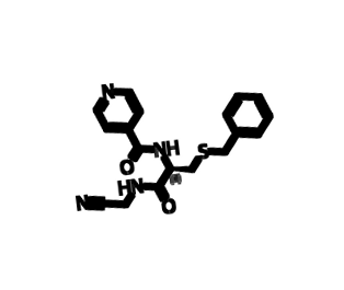 N#CCNC(=O)[C@H](CSCc1ccccc1)NC(=O)c1ccncc1